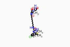 C=C1N(C2CCC(=O)NC2=O)C(=O)CC12CN(CC(=O)CCCCCCCCCCNC(=O)C[C@@H]1N=C(c3ccc(Cl)cc3)c3c(sc(C)c3C)N(CC)C1=N)C2